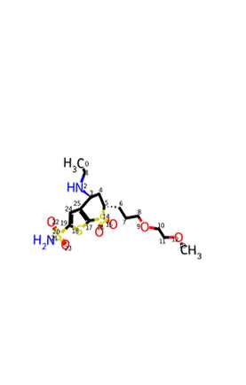 CCN[C@H]1C[C@H](CCCOCCOC)S(=O)(=O)c2sc(S(N)(=O)=O)cc21